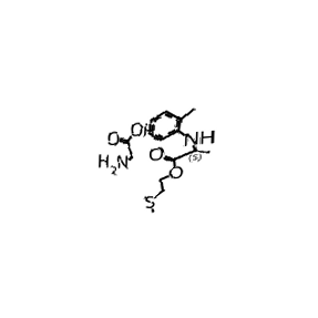 CSCCOC(=O)[C@H](C)Nc1ccccc1C.NCC(=O)O